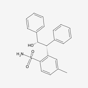 Cc1ccc(S(N)(=O)=O)c([C@@H](c2ccccc2)[C@H](O)c2ccccc2)c1